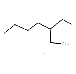 CCCCC(CC)[CH2][AlH2].[HH]